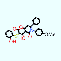 COc1ccc(-n2c(-c3ccccc3)cc3oc(=O)c(Sc4ccccc4O)c(O)c3c2=O)cc1